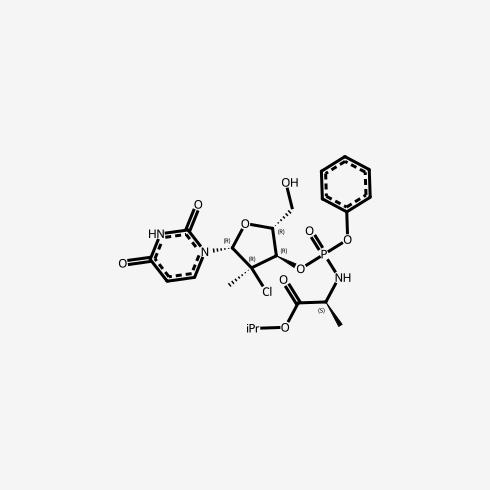 CC(C)OC(=O)[C@H](C)NP(=O)(Oc1ccccc1)O[C@@H]1[C@@H](CO)O[C@@H](n2ccc(=O)[nH]c2=O)[C@]1(C)Cl